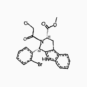 COC(=O)[C@@H]1Cc2c([nH]c3ccccc23)[C@H](c2ccccc2Br)N1C(=O)CCl